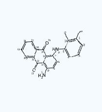 Cc1cccc(Nc2ccc(N)c3c2C(=O)c2ccccc2C3=O)c1C